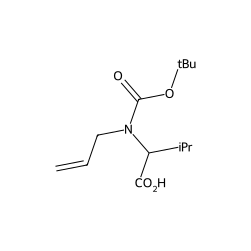 C=CCN(C(=O)OC(C)(C)C)C(C(=O)O)C(C)C